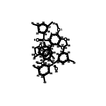 COc1cc(P(=O)(c2cc(C)cc(C)c2)c2cc(C)cc(C)c2)c(-c2cc(P(=O)(c3cc(C)cc(C)c3)c3cc(C)cc(C)c3)c(OC)c3c2OCO3)c2c1OCO2